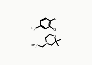 CC1(C)CN(CC(=O)O)CCO1.Nc1ccc(Cl)c(Cl)c1